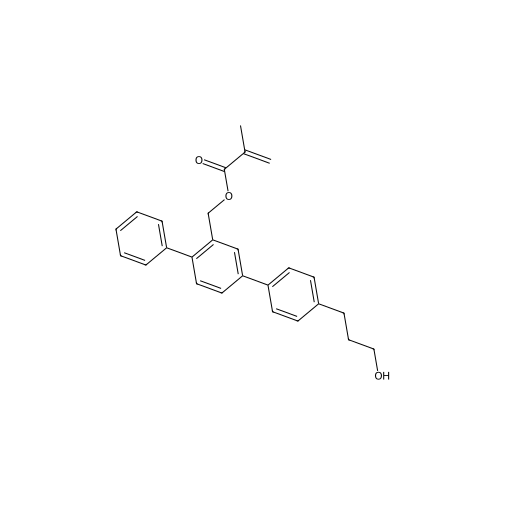 C=C(C)C(=O)OCc1cc(-c2ccc(CCCO)cc2)ccc1-c1ccccc1